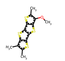 COc1c(C)sc2c1sc1c3sc(C)c(C)c3sc21